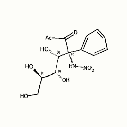 CC(=O)C(=O)[C@@](N[N+](=O)[O-])(c1ccccc1)[C@@H](O)[C@H](O)[C@H](O)CO